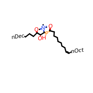 CCCCCCCC/C=C\CCCCCCCC(=O)[P-]C(C(O)C(=O)CCCCCCCCCCCCC)[N+](C)(C)C